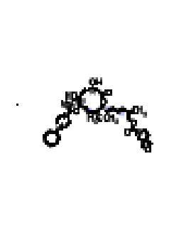 C/C(=C\C=C\C(C)COC(=O)N1CCC2(COC2)C1)[C@H]1OC(=O)C[C@@H](O)CC[C@](C)(O)[C@@H](OC(=O)N2CCN(C3CCCCCC3)CC2)/C=C/[C@@H]1C